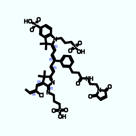 C\C=C(Cl)/C=C1\C(=N\CCCS(=O)(=O)O)N=C(/C=C/C(=C/C=C2/N(CCCS(=O)(=O)O)c3ccc(S(=O)(=O)O)cc3C2(C)C)c2cccc(CCC(=O)NCCN3C(=O)C=CC3=O)c2)C1(C)C